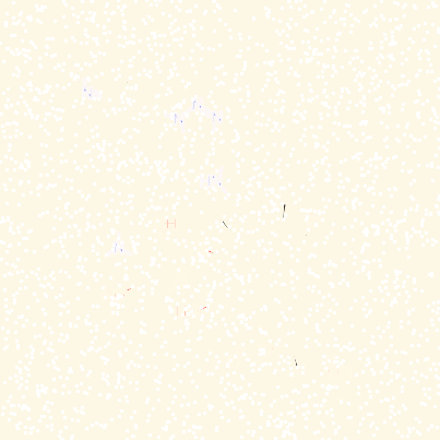 CC[C@H]1OC(=O)C[C@@H](O)[C@H](C)[C@@H](O[C@@H]2O[C@H](C)[C@@H](O)C(N(C)C)C2O)[C@@H](CCNCc2cn(-c3ccc4ncccc4c3)nn2)C[C@@H](C)C(=O)/C=C/C(C)=C/[C@@H]1CO